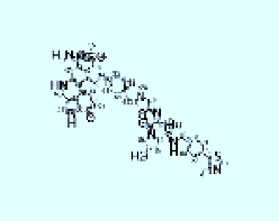 Cc1ncsc1-c1ccc(CNC(=O)[C@@H]2C[C@@H](O)CN2C(=O)[C@@H](NC(=O)CN2CCC3(CCN(CCc4c(CS(C)(=O)=O)c(C(N)=O)cc5c4-c4cn(C)c(=O)c6[nH]cc(c46)CN5)CC3)CC2)C(C)(C)C)cc1